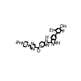 CCc1cc(O)c(F)cc1-c1ccc2c(-c3nc4c([nH]3)CCN(C(=O)c3cnc(N5CCN(C(C)C)CC5)cn3)C4)n[nH]c2c1